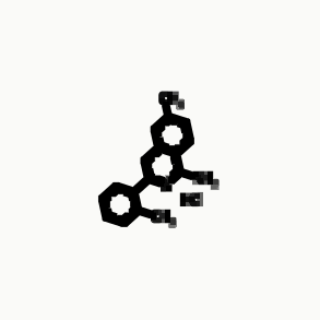 Cc1ccc2c(N)nc(-c3ccccc3C)cc2c1.Cl